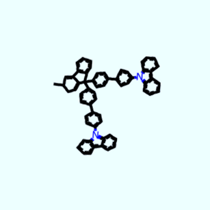 CC1C=C2C(=CC1)C(c1ccc(-c3ccc(-n4c5ccccc5c5ccccc54)cc3)cc1)(c1ccc(-c3ccc(-n4c5ccccc5c5ccccc54)cc3)cc1)c1ccccc12